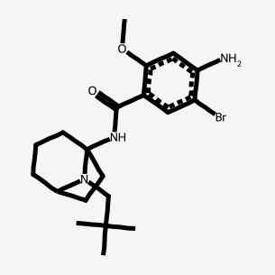 COc1cc(N)c(Br)cc1C(=O)NC12CCCC(CC1)N2CC(C)(C)C